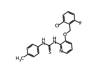 Cc1ccc(NC(=S)Nc2ncccc2OCc2c(F)cccc2Cl)cc1